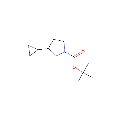 CC(C)(C)OC(=O)N1CCC(C2CC2)C1